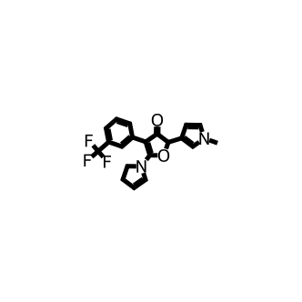 Cn1ccc(C2OC(N3C=CCC3)=C(c3cccc(C(F)(F)F)c3)C2=O)c1